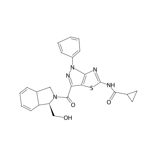 O=C(Nc1nc2c(s1)c(C(=O)N1CC3C=CC=CC3[C@@H]1CO)nn2-c1ccccc1)C1CC1